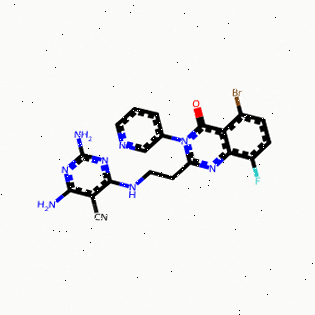 N#Cc1c(N)nc(N)nc1NCCc1nc2c(F)ccc(Br)c2c(=O)n1-c1cccnc1